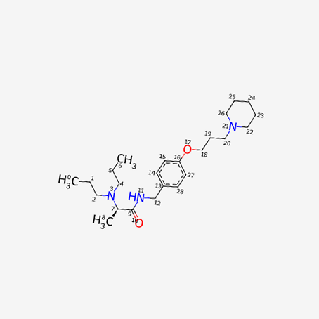 CCCN(CCC)[C@H](C)C(=O)NCc1ccc(OCCCN2CCCCC2)cc1